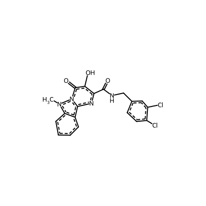 Cn1c2ccccc2c2nc(C(=O)NCc3ccc(Cl)c(Cl)c3)c(O)c(=O)n21